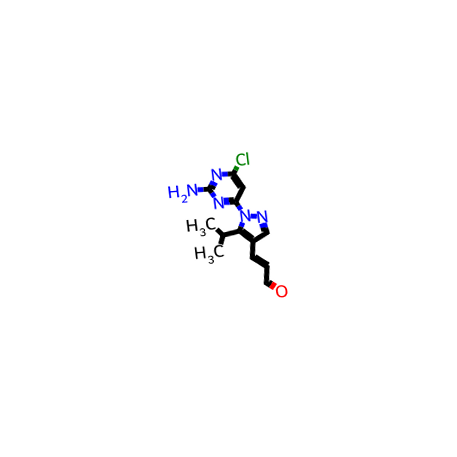 CC(C)c1c(/C=C/C=O)cnn1-c1cc(Cl)nc(N)n1